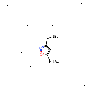 CC(=O)Nc1cc(CC(C)(C)C)no1